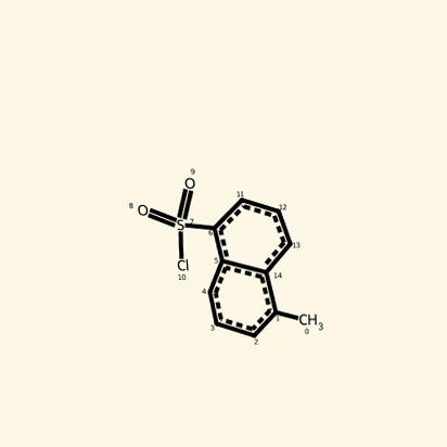 Cc1cccc2c(S(=O)(=O)Cl)cccc12